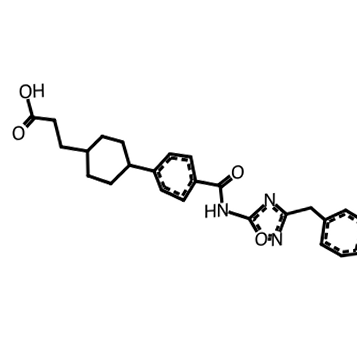 O=C(O)CCC1CCC(c2ccc(C(=O)Nc3nc(Cc4ccccc4)no3)cc2)CC1